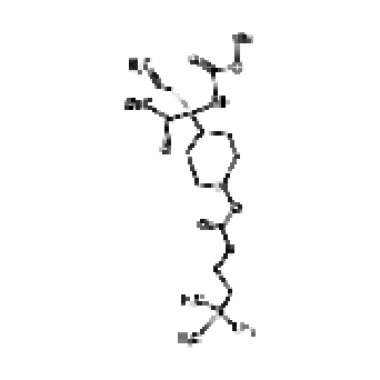 C=CC[C@@](NC(=O)OC(C)(C)C)(C(=O)OC)C1CCN(OC(=O)OCC[Si](C)(C)C)CC1